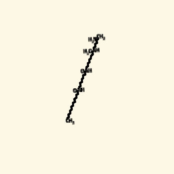 C=CC(N)CCCCNC(=C)CCCCCCCCNC(=O)CCCCCCCCNC(=O)CCCCCCCCCCCCCCC